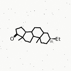 CC[C@H]1CCC2(C)C(CCC3C4CCC(=O)C4(C)CCC32)C1